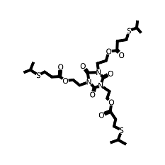 CC(C)SCCC(=O)OCCn1c(=O)n(CCOC(=O)CCSC(C)C)c(=O)n(CCOC(=O)CCSC(C)C)c1=O